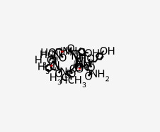 CC[C@H](C)[C@@H]1NC(=O)[C@H](Cc2ccccc2)N(C)C(=O)[C@H]([C@@H](C)O)N2C(=O)[C@H](CC[C@H]2O)NC(=O)[C@H](Cc2ccc(O)cc2)NC(=O)[C@@H](NC(=O)[C@H](CCC(N)=O)NC(=O)[C@H](O)Cc2ccc(O)cc2)[C@@H](C)OC1=O